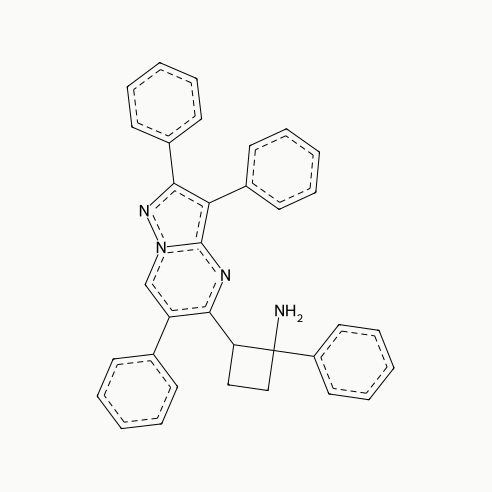 NC1(c2ccccc2)CCC1c1nc2c(-c3ccccc3)c(-c3ccccc3)nn2cc1-c1ccccc1